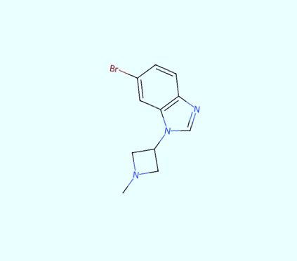 CN1CC(n2cnc3ccc(Br)cc32)C1